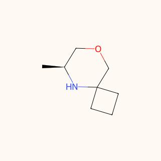 C[C@H]1COCC2(CCC2)N1